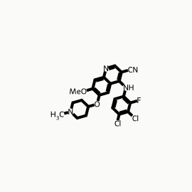 COc1cc2ncc(C#N)c(Nc3ccc(Cl)c(Cl)c3F)c2cc1OC1CCN(C)CC1